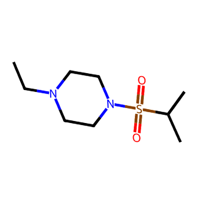 CCN1CCN(S(=O)(=O)C(C)C)CC1